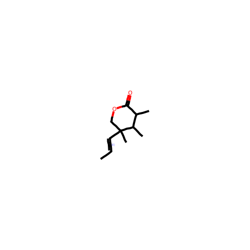 C/C=C/C1(C)COC(=O)C(C)C1C